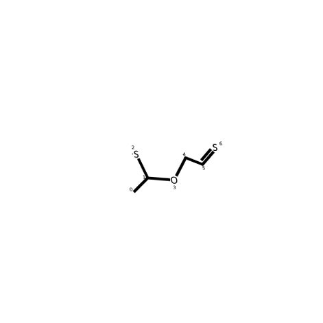 CC([S])OCC=S